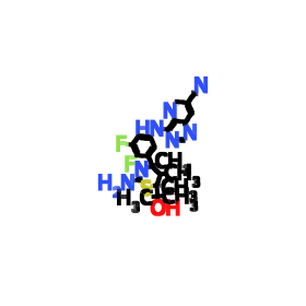 CC1[C@@](C)(C(C)(C)O)SC(N)=N[C@]1(C)c1cc(Nc2ncnc3cc(C#N)cnc23)cc(F)c1F